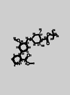 COC(=O)c1ncccc1-c1ccc(CN2C[C@@H](C)N(C(=O)OC(C)(C)C)[C@@H](C)C2)c(OC)c1